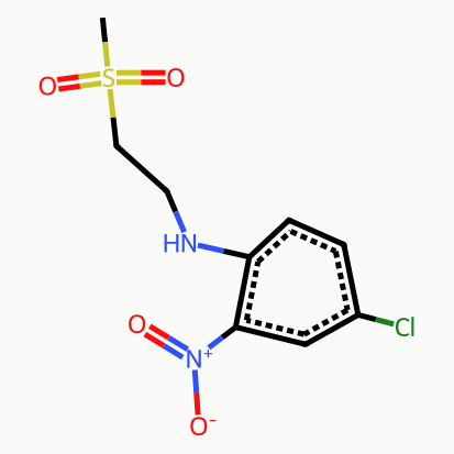 CS(=O)(=O)CCNc1ccc(Cl)cc1[N+](=O)[O-]